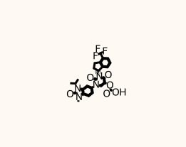 CC(C)n1c(=O)n(C)c2ccc(-n3cc(OC(=O)O)c(=O)n([C@@H]4CCc5c4cccc5C(F)(F)F)c3=O)cc21